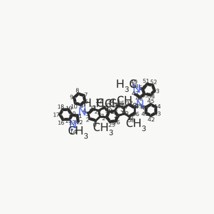 CC1=CC(N(c2ccccc2)c2cn(C)c3ccccc23)=CC2C1c1ccc3c(c1C2(C)C)C(C)(C)C1C=C(N(c2ccccc2)c2cn(C)c4ccccc24)C=C(C)C31